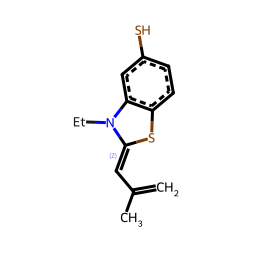 C=C(C)/C=C1\Sc2ccc(S)cc2N1CC